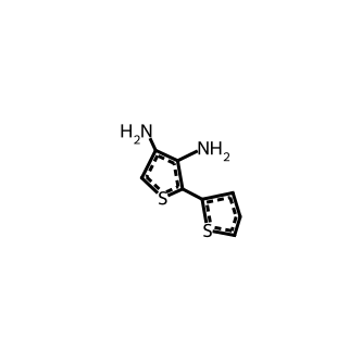 Nc1csc(-c2cccs2)c1N